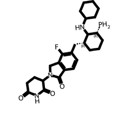 O=C1CCC(N2Cc3c(ccc(C[C@H]4CCC[C@@H](P)C4NC4CCCCC4)c3F)C2=O)C(=O)N1